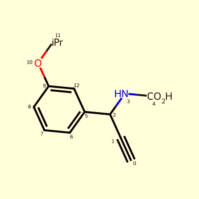 C#CC(NC(=O)O)c1cccc(OC(C)C)c1